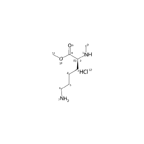 CN[C@@H](CCCCN)C(=O)OC.Cl